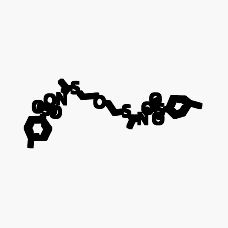 CC(=NOS(=O)(=O)c1ccc(C)cc1)SCCOCCSC(C)=NOS(=O)(=O)c1ccc(C)cc1